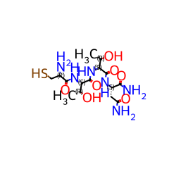 C[C@@H](O)[C@H](NC(=O)[C@@H](NC(=O)[C@@H](N)CS)[C@@H](C)O)C(=O)N[C@@H](CC(N)=O)C(N)=O